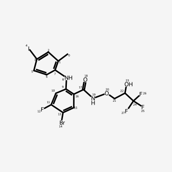 Cc1cc(I)ccc1Nc1cc(F)c(Br)cc1C(=O)NOCC(O)C(F)(F)F